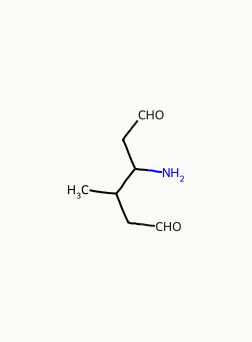 CC(CC=O)C(N)CC=O